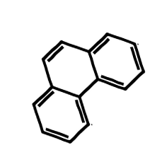 [c]1ccc2c(c1)ccc1ccc[c]c12